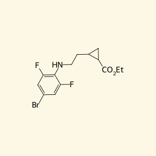 CCOC(=O)C1CC1CCNc1c(F)cc(Br)cc1F